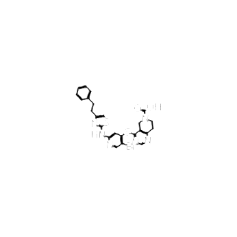 O=C(O)N1CCc2ncnc(Sc3cc(Nc4nc(CCc5ccccc5)cs4)ncc3Br)c2C1